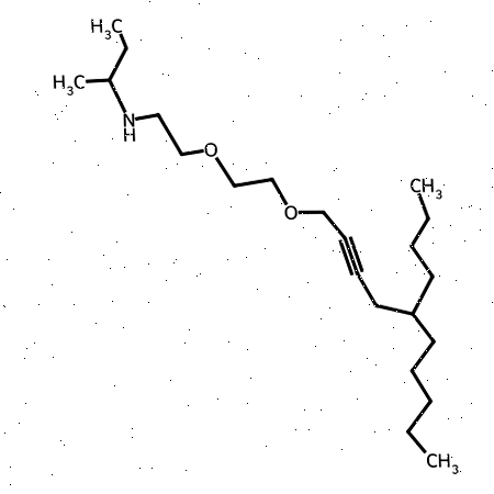 CCCCCC(CC#CCOCCOCCNC(C)CC)CCCC